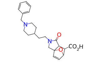 O=C(O)C1C2C=CC3(CN(CCC4CCN(Cc5ccccc5)CC4)C(=O)C13)O2